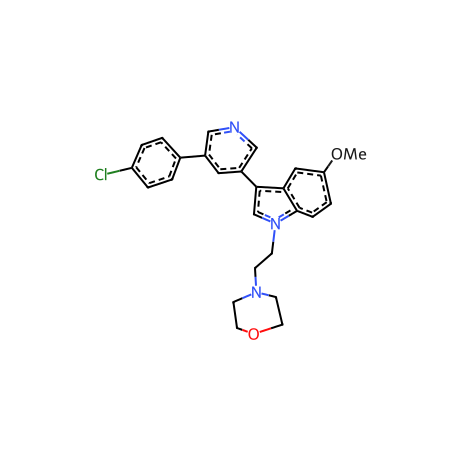 COc1ccc2c(c1)c(-c1cncc(-c3ccc(Cl)cc3)c1)cn2CCN1CCOCC1